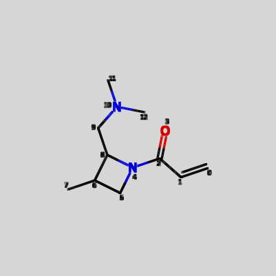 C=CC(=O)N1CC(C)C1CN(C)C